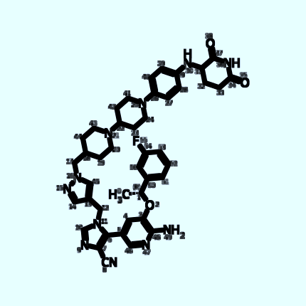 C[C@@H](Oc1cc(-c2c(C#N)ncn2Cc2cnn(CC3CCN(C4CCN(c5ccc(NC6CCC(=O)NC6=O)cc5)CC4)CC3)c2)cnc1N)c1cccc(F)c1